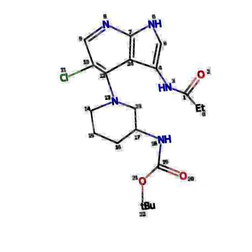 CCC(=O)Nc1c[nH]c2ncc(Cl)c(N3CCCC(NC(=O)OC(C)(C)C)C3)c12